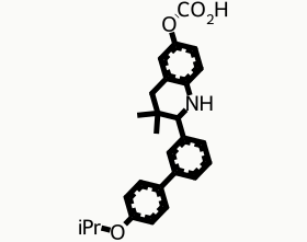 CC(C)Oc1ccc(-c2cccc(C3Nc4ccc(OC(=O)O)cc4CC3(C)C)c2)cc1